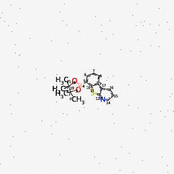 CC1(C)OB(c2cccc3c2sc2ncccc23)OC1(C)C